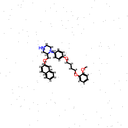 COc1ccccc1OCCCCOc1ccc(N2CCNCC2COc2ccc3ccccc3c2)cc1